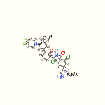 CN/C=C(\C=N)c1cc(Cl)c(C(=O)N2COc3c(cccc3-c3ccc(C(=O)O)c(N4CCC(F)(F)CC4)c3)C2)c(Cl)c1